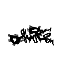 O=C(O)CC([CH]O)(OCCOC(=O)C(O)c1ccccc1)c1ccccc1